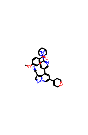 COc1ccc(C(=O)N2C3CC2CN(c2ccc(-c4cc(C5=CCOCC5)cn5ncc(C#N)c45)cn2)C3)cc1